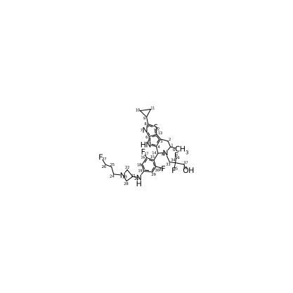 CC1Cc2c([nH]c3nc(C4CC4)sc23)C(c2c(F)cc(NC3CN(CCCF)C3)cc2F)N1CC(F)(F)CO